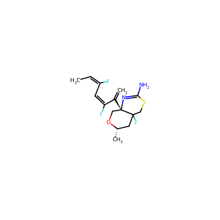 C=C(/C(F)=C\C(F)=C/C)[C@]12CO[C@@H](C)C[C@@]1(F)CSC(N)=N2